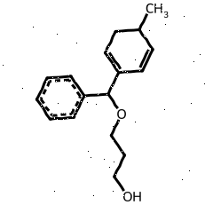 CC1C=CC(C(OCCCO)c2ccccc2)=CC1